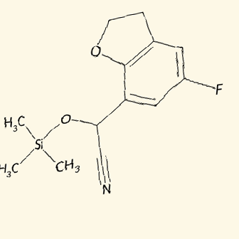 C[Si](C)(C)OC(C#N)c1cc(F)cc2c1OCC2